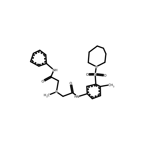 Cc1ccc(NC(=O)CN(C)CC(=O)Nc2ccccc2)cc1S(=O)(=O)N1CCCCCC1